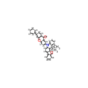 CC1(C)c2ccccc2N(c2ccc3oc4cc(-c5ccccc5)ccc4c(=O)c3c2)c2ccc3c(oc4ccccc43)c21